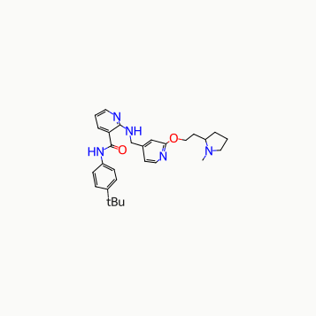 CN1CCCC1CCOc1cc(CNc2ncccc2C(=O)Nc2ccc(C(C)(C)C)cc2)ccn1